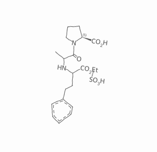 CCOC(=O)C(CCc1ccccc1)NC(C)C(=O)N1CCC[C@H]1C(=O)O.CS(=O)(=O)O